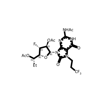 CC[C@H](OC(C)=O)[C@H]1O[C@@H](n2c(=O)n(CCC(F)(F)F)c3c(=O)[nH]c(NC(C)=O)nc32)[C@H](OC(C)=O)[C@H]1F